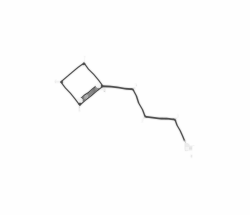 BrCCCC1=CCC1